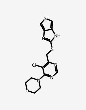 Clc1c(CSc2nc3cscc3[nH]2)ncnc1N1CCOCC1